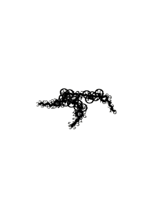 CCCCCc1ccc(C(=O)OOC(=O)OCCC(CCOC(=O)OOC(=O)c2ccc(CCCCC)cc2)COC(=O)OOC(=O)c2ccc(CCCCC)cc2)cc1